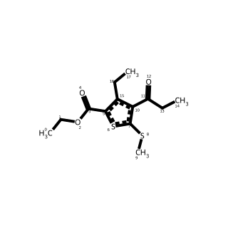 CCOC(=O)c1sc(SC)c(C(=O)CC)c1CC